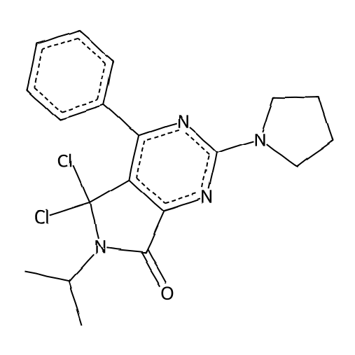 CC(C)N1C(=O)c2nc(N3CCCC3)nc(-c3ccccc3)c2C1(Cl)Cl